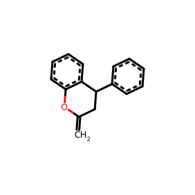 C=C1CC(c2ccccc2)c2ccccc2O1